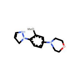 COc1cc(N2CCOCC2)ccc1N1CC=CN1